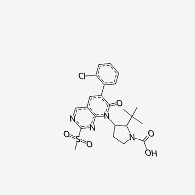 CC(C)(C)C1C(n2c(=O)c(-c3ccccc3Cl)cc3cnc(S(C)(=O)=O)nc32)CCN1C(=O)O